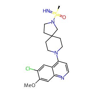 COc1cc2nccc(N3CCC4(CC3)CCN([S@](C)(=N)=O)C4)c2cc1Cl